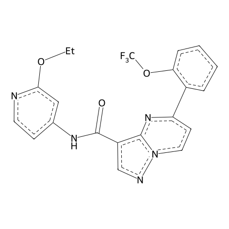 CCOc1cc(NC(=O)c2cnn3ccc(-c4ccccc4OC(F)(F)F)nc23)ccn1